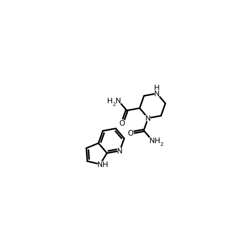 NC(=O)C1CNCCN1C(N)=O.c1cnc2[nH]ccc2c1